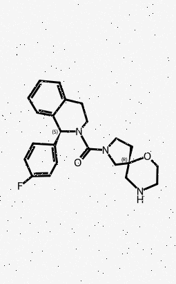 O=C(N1CC[C@@]2(CNCCO2)C1)N1CCc2ccccc2[C@@H]1c1ccc(F)cc1